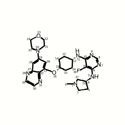 CN1CC[C@H](Nc2ncnc(N[C@H]3CC[C@@H](Oc4cc(N5CCOCC5)cc5nccnc45)CC3)c2F)C1